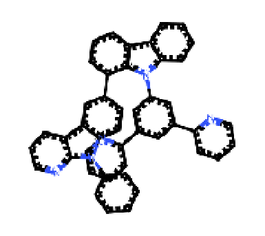 c1ccc(-n2c3ccc(-c4cccc5c6ccccc6n(-c6cc(-c7ccccn7)cc(-c7ccccn7)c6)c45)cc3c3cccnc32)cc1